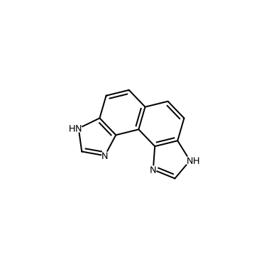 c1nc2c(ccc3ccc4[nH]cnc4c32)[nH]1